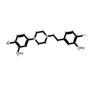 COc1cc(CCN2CCN(c3ccc(Br)c(OC)c3)CC2)ccc1F